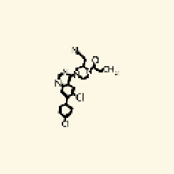 C=CC(=O)N1CCN(c2ncnc3cc(-c4ccc(Cl)cc4)c(Cl)cc23)CC1CC#N